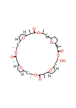 CC1C[C@H]2CC[C@H](O2)C(C)C(=O)O[C@H](O)C[C@H]2CC[C@H](O2)C(C)C(=O)O[C@H](C)C[C@H]2CC[C@H](O2)[C@H](C)C(=O)O[C@H](C)C[C@H]2CC[C@H](O2)[C@@H](C)C(=O)O1